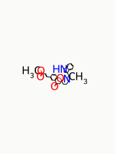 COC(=O)/C=C/c1ccc2c(c1)C(=O)CC1(CCCN(C(C)c3c[nH]c4ccccc34)C1)O2